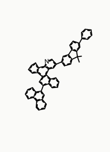 CC1(C)c2ccc(-c3cnc4c5ccccc5c5cc(-c6cc7ccccc7c7ccccc67)c6ccccc6c5c4c3)cc2-c2ccc(-c3ccccc3)cc21